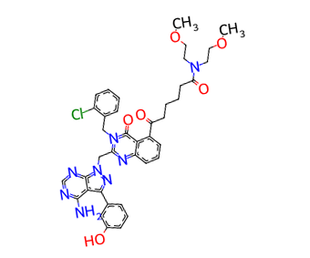 COCCN(CCOC)C(=O)CCCCC(=O)c1cccc2nc(Cn3nc(-c4cccc(O)c4)c4c(N)ncnc43)n(Cc3ccccc3Cl)c(=O)c12